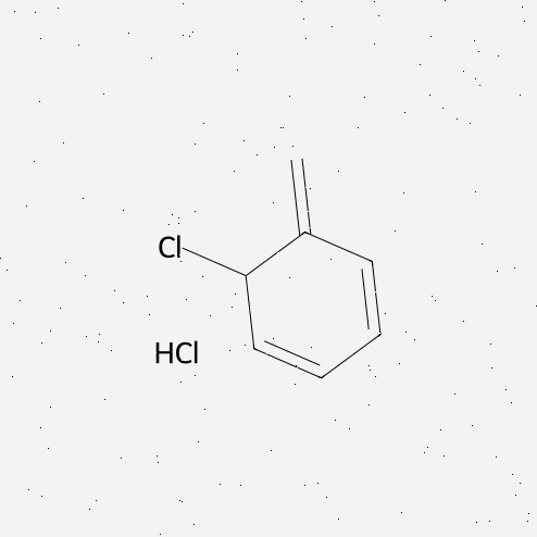 C=C1C=CC=CC1Cl.Cl